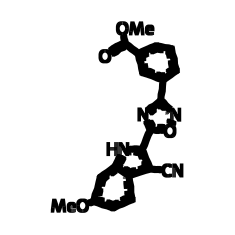 COC(=O)c1cccc(-c2noc(-c3[nH]c4cc(OC)ccc4c3C#N)n2)c1